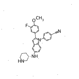 COc1ccc(-c2cc3cc(N[C@H]4CCCNC4)ccc3n2-c2ccc(C#N)cc2)cc1F